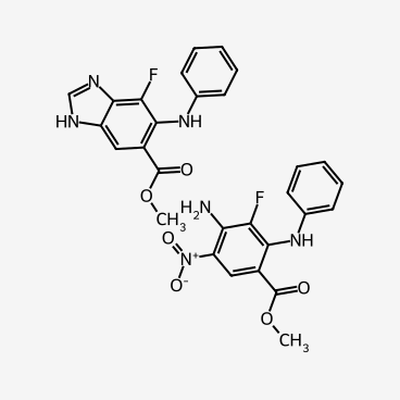 COC(=O)c1cc([N+](=O)[O-])c(N)c(F)c1Nc1ccccc1.COC(=O)c1cc2[nH]cnc2c(F)c1Nc1ccccc1